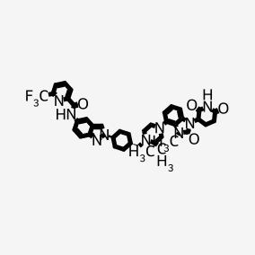 Cn1c(=O)n(C2CCC(=O)NC2=O)c2cccc(N3CCN(C[C@H]4CC[C@H](n5cc6cc(NC(=O)c7cccc(C(F)(F)F)n7)ccc6n5)CC4)C(C)(C)C3)c21